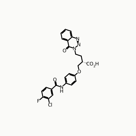 O=C(Nc1ccc(OC[C@H](CCn2nnc3ccccc3c2=O)C(=O)O)cc1)c1ccc(F)c(Cl)c1